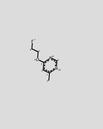 Cc1cc(OCCF)ncn1